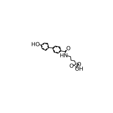 O=C(NCCCS(=O)(=O)O)c1ccc(-c2ccc(O)cc2)cc1